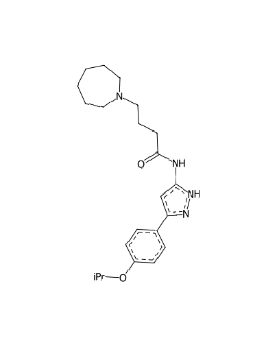 CC(C)Oc1ccc(-c2cc(NC(=O)CCCN3CCCCCC3)[nH]n2)cc1